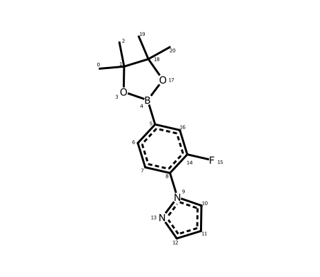 CC1(C)OB(c2ccc(-n3cccn3)c(F)c2)OC1(C)C